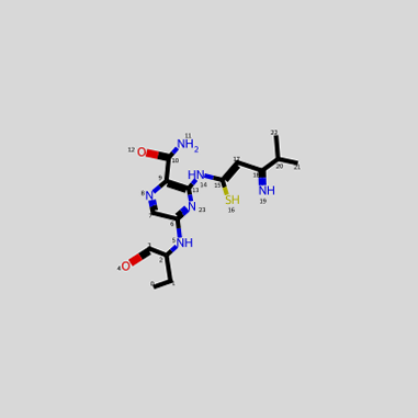 CCC(C=O)Nc1cnc(C(N)=O)c(N/C(S)=C/C(=N)C(C)C)n1